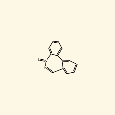 S=S1N=Cc2ccccc2-c2ccccc21